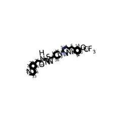 N/N=C(\C=C/CCc1cccc(OC(F)(F)F)c1)N1CCC(c2nnc(NC(=O)Cc3ccc4ncccc4c3)s2)CC1